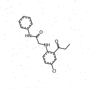 CCC(=O)c1cc(Cl)ccc1NCC(=O)Nc1ccccc1